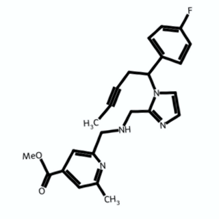 CC#CCC(c1ccc(F)cc1)n1ccnc1CNCc1cc(C(=O)OC)cc(C)n1